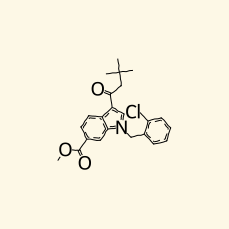 COC(=O)c1ccc2c(C(=O)CC(C)(C)C)cn(Cc3ccccc3Cl)c2c1